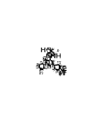 C[C@H](NC(=O)c1cc(-c2ccc(C(F)(F)F)cc2)nn(-c2cccc(F)c2)c1=O)C(C)(C)O